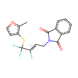 Cc1occc1SC(F)(F)/C(F)=C/CN1C(=O)c2ccccc2C1=O